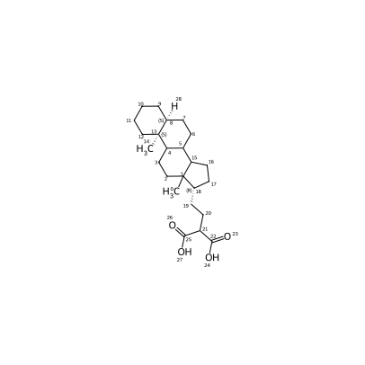 CC12CCC3C(CC[C@@H]4CCCC[C@]34C)C1CC[C@@H]2CCC(C(=O)O)C(=O)O